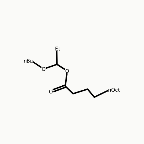 CCCCCCCCCCCC(=O)OC(CC)OCCCC